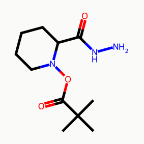 CC(C)(C)C(=O)ON1CCCCC1C(=O)NN